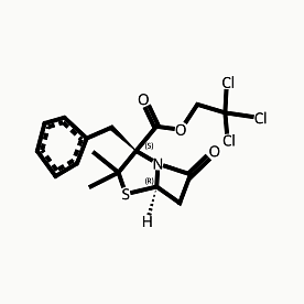 CC1(C)S[C@@H]2CC(=O)N2[C@@]1(Cc1ccccc1)C(=O)OCC(Cl)(Cl)Cl